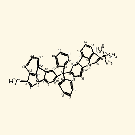 Cc1cn2c3ccc(C(c4ccccc4)(c4ccccc4)c4ccc5c(c4)c4cccc6c([Si](C)(C)C)cn5c64)cc3c3cccc1c32